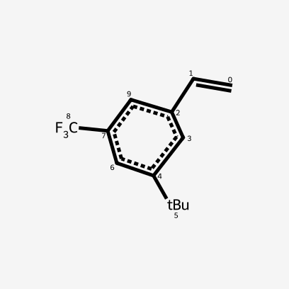 C=Cc1cc(C(C)(C)C)cc(C(F)(F)F)c1